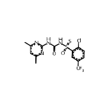 Cc1cc(C)nc(NC(=O)NS(=O)(=S)c2cc(C(F)(F)F)ccc2Cl)n1